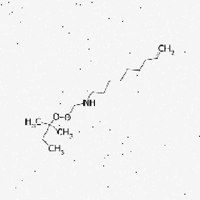 C=CCCCCCCCNCOOC(C)(C)CC